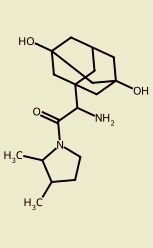 CC1CCN(C(=O)C(N)C23CC4CC(O)(CC(O)(C4)C2)C3)C1C